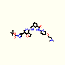 CN(C)CCOc1ccc(NC(=O)c2cccc(CNc3ncc(-c4cnn(C(=O)OC(C)(C)C)c4)c4c3CCO4)c2)nc1